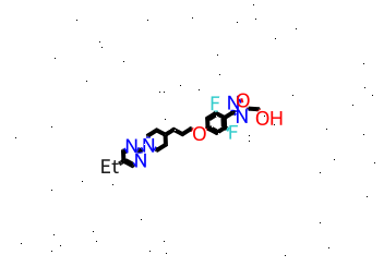 CCc1cnc(N2CCC(CCCOc3cc(F)c(-c4noc(CO)n4)c(F)c3)CC2)nc1